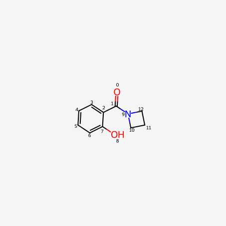 O=C(c1ccccc1O)N1CCC1